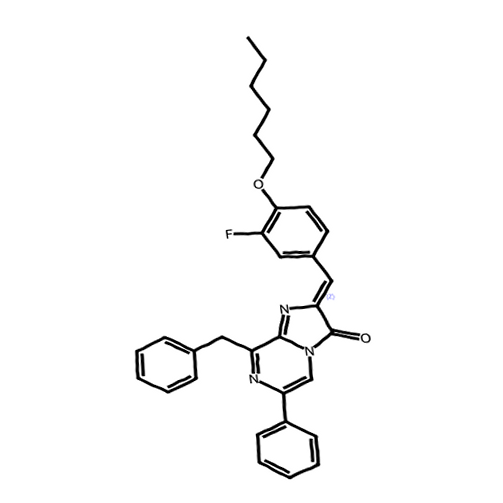 CCCCCCOc1ccc(/C=C2\N=C3C(Cc4ccccc4)=NC(c4ccccc4)=CN3C2=O)cc1F